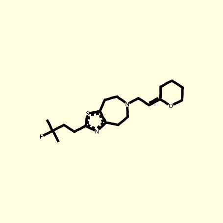 CC(C)(F)CCc1nc2c(s1)CCN(C/C=C1\CCCCO1)CC2